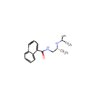 CCC[C@H](N[C@@H](CNC(=O)c1cccc2ccccc12)C(=O)O)C(=O)O